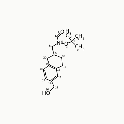 CC(C)(C)ON(C=O)C[C@H]1CCc2cc(CO)ccc2C1